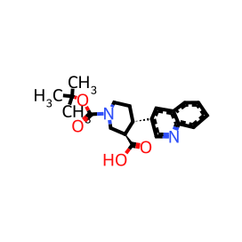 CC(C)(C)OC(=O)N1CC[C@H](c2cnc3ccccc3c2)[C@@H](C(=O)O)C1